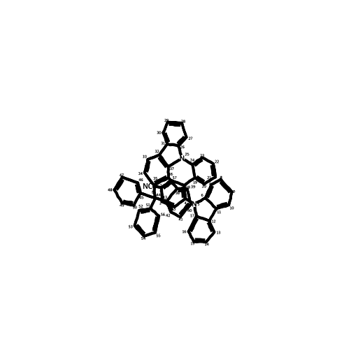 N#Cc1ccc(-n2c3ccccc3c3ccccc32)c(-c2ccccc2-n2c3ccccc3c3ccc4c(c32)-c2ccccc2C4(c2ccccc2)c2ccccc2)c1